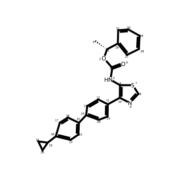 C[C@@H](OC(=O)Nc1scnc1-c1ccc(-c2ccc(C3CC3)cc2)cc1)c1ccccc1